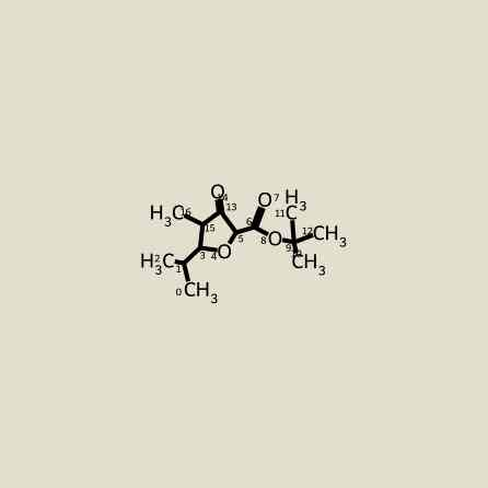 CC(C)C1OC(C(=O)OC(C)(C)C)C(=O)C1C